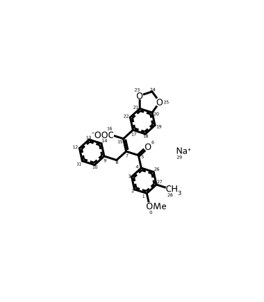 COc1ccc(C(=O)C(Cc2ccccc2)=C(C(=O)[O-])c2ccc3c(c2)OCO3)cc1C.[Na+]